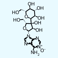 Nc1c2ncn([C@@H]3O[C@H](CO)[C@](O)([C@H]4O[C@H](CO)[C@@H](O)[C@H](O)[C@H]4O)[C@H]3O)c2nc[n+]1[O-]